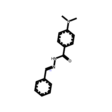 CN(C)c1ccc(C(=O)N/N=C/c2ccccc2)cc1